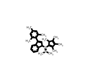 CC1=C(C)C(C)[C]([Zr]([CH]2C=C(c3c(C)cc(C)cc3C)c3ccccc32)=[Si](C)C)=C1C